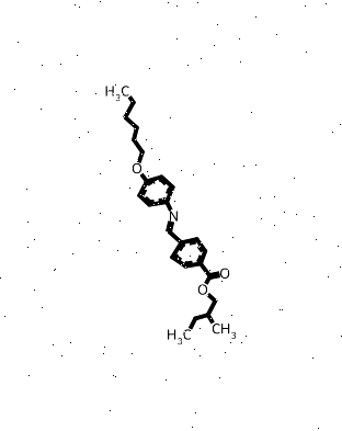 CCCCCCOc1ccc(N=Cc2ccc(C(=O)OCC(C)CC)cc2)cc1